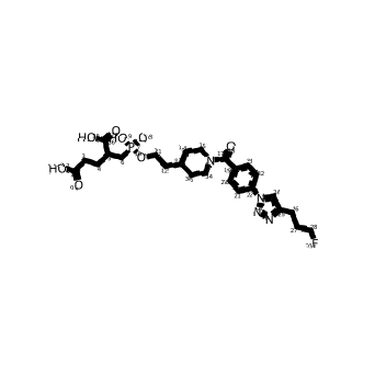 O=C(O)CCC(CP(=O)(O)OCCC1CCN(C(=O)c2ccc(-n3cc(CCCF)nn3)cc2)CC1)C(=O)O